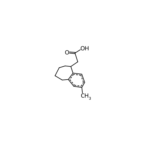 Cc1ccc2c(c1)CCCCC2CC(=O)O